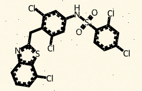 O=S(=O)(Nc1cc(Cl)c(Cc2nc3cccc(Cl)c3s2)c(Cl)c1)c1ccc(Cl)cc1Cl